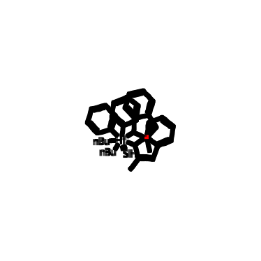 CCC[CH2][Hf](=[SiH2])([CH2]CCC)([c]1ccccc1)([c]1ccccc1)([CH]1C(C)=Cc2ccccc21)[CH]1C(C)=Cc2ccccc21